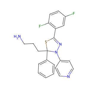 NCCCC1(c2ccccc2)SC(c2cc(F)ccc2F)=NN1c1ccncc1